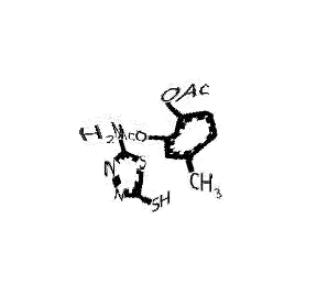 CC(=O)Oc1ccc(C)cc1OC(C)=O.Nc1nnc(S)s1